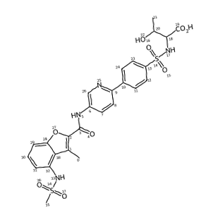 Cc1c(C(=O)Nc2ccc(-c3ccc(S(=O)(=O)NC(C(=O)O)C(C)O)cc3)nc2)oc2cccc(NS(C)(=O)=O)c12